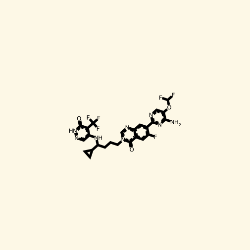 Nc1nc(-c2cc3ncn(CCCC(Nc4cn[nH]c(=O)c4C(F)(F)F)C4CC4)c(=O)c3cc2F)ncc1OC(F)F